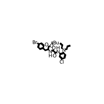 C=CCN(CC=C)c1ccc(Cl)cc1NC(=O)C(=O)NC(Cc1ccc(Br)cc1)C(=O)OC(C)(C)C